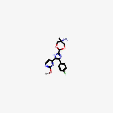 CCCOc1nccc(-c2[nH]c(C3OCC(C)(N)CO3)nc2-c2ccc(F)cc2)n1